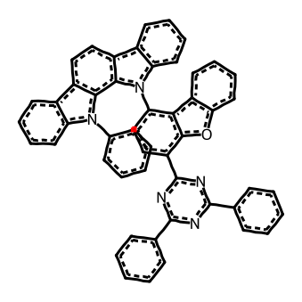 c1ccc(-c2nc(-c3ccccc3)nc(-c3ccc(-n4c5ccccc5c5ccc6c7ccccc7n(-c7ccccc7)c6c54)c4c3oc3ccccc34)n2)cc1